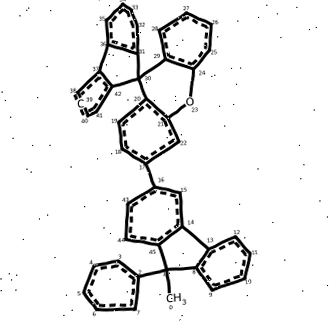 CC1(c2ccccc2)c2ccccc2-c2cc(-c3ccc4c(c3)Oc3ccccc3C43c4ccccc4-c4ccccc43)ccc21